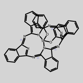 c1ccc2c(c1)C1=NC/2=N\c2c3ccccc3c3n2[Si](Oc2ccncc2)(Oc2ccncc2)n2/c(c4ccccc4/c2=N/C2=NC(=N\3)/c3ccccc32)=N\1